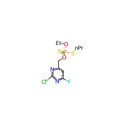 CCCS[P@@](=S)(OCC)OCc1cc(F)nc(Cl)n1